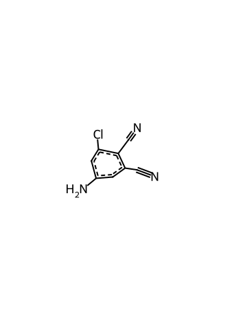 N#Cc1cc(N)cc(Cl)c1C#N